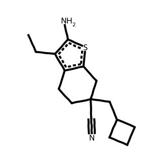 CCc1c(N)sc2c1CCC(C#N)(CC1CCC1)C2